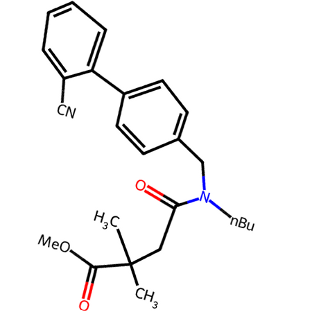 CCCCN(Cc1ccc(-c2ccccc2C#N)cc1)C(=O)CC(C)(C)C(=O)OC